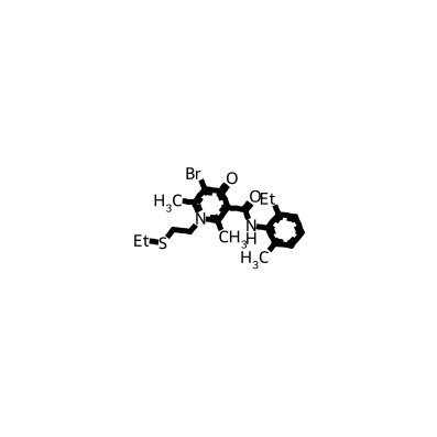 CCSCCn1c(C)c(Br)c(=O)c(C(=O)Nc2c(C)cccc2CC)c1C